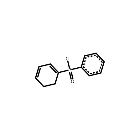 O=P(Cl)(C1=CC=CCC1)c1ccccc1